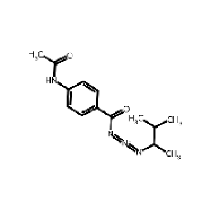 CC(=O)Nc1ccc(C(=O)N=[N+]=NC(C)C(C)C)cc1